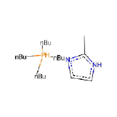 CCCC[PH](CCCC)(CCCC)CCCC.Cc1ncc[nH]1